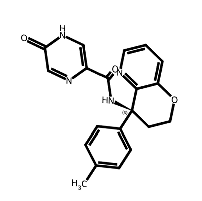 Cc1ccc([C@@]2(NC(=O)c3c[nH]c(=O)cn3)CCOc3cccnc32)cc1